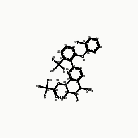 CN1C(N)c2ccc(-c3c(Oc4ccccc4F)cccc3C(F)(F)F)nc2N(OC(=O)C(F)(F)F)C1N